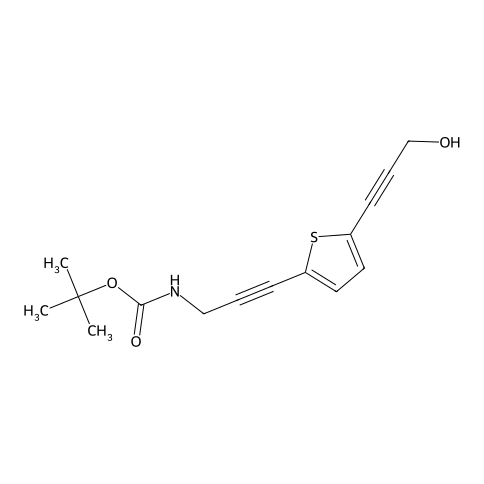 CC(C)(C)OC(=O)NCC#Cc1ccc(C#CCO)s1